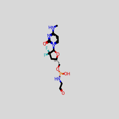 CNc1ccn(C2O[C@H](COP(O)NCC=O)CC2(F)F)c(=O)n1